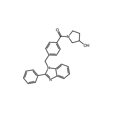 O=C(c1ccc(Cn2c(-c3ccccc3)nc3ccccc32)cc1)N1CCC(O)C1